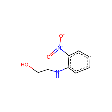 O=[N+]([O-])c1c[c]ccc1NCCO